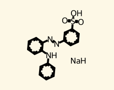 O=S(=O)(O)c1cccc(N=Nc2ccccc2Nc2ccccc2)c1.[NaH]